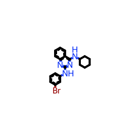 Brc1cccc(Nc2nc(NC3CCCCC3)c3ccccc3n2)c1